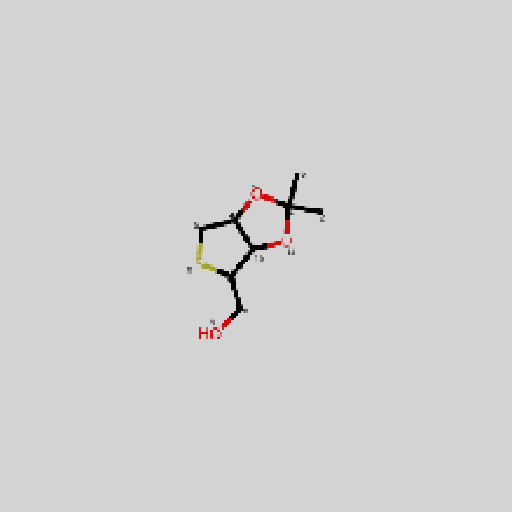 CC1(C)OC2CSC(CO)C2O1